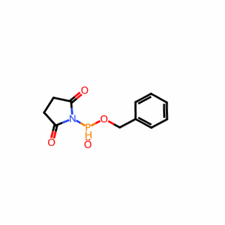 O=C1CCC(=O)N1[PH](=O)OCc1ccccc1